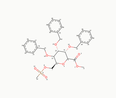 COC(=O)C1O[C@@H](COS(C)(=O)=O)C(OCc2ccccc2)[C@H](OCc2ccccc2)[C@@H]1OCc1ccccc1